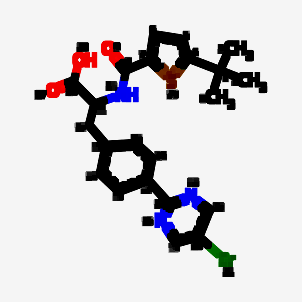 CC(C)(C)c1ccc(C(=O)NC(Cc2ccc(-c3ncc(Br)cn3)cc2)C(=O)O)s1